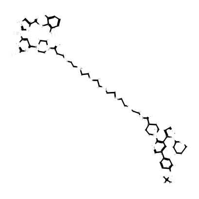 Cc1nc(Nc2ncc(C(=O)Nc3c(C)cccc3Cl)s2)cc(N2CCN(C(=O)CCOCCOCCOCCOCCOCCOCCNC(=O)C3CCN(c4ncc(-c5ccc(OC(F)(F)Cl)cc5)cc4-c4ccnn4C4CCCCO4)CC3)CC2)n1